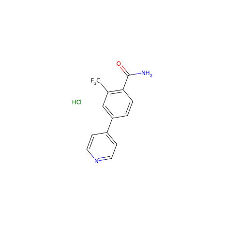 Cl.NC(=O)c1ccc(-c2ccncc2)cc1C(F)(F)F